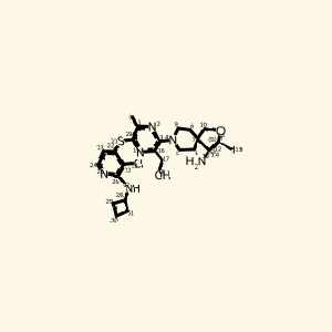 Cc1nc(N2CCC3(CC2)CO[C@@H](I)[C@H]3N)c(CO)nc1Sc1ccnc(NC2CCC2)c1Cl